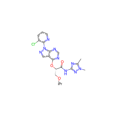 Cc1nc(NC(=O)[C@H](COC(C)C)Oc2ncnc3c2cnn3-c2ncccc2Cl)nn1C